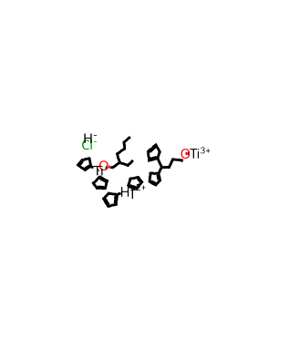 C1=CC[C]([Hf+2][C]2=CC=CC2)=C1.CCCCC(CC)C[O][Ti+]([C]1=CC=CC1)[C]1=CC=CC1.[Cl-].[H-].[Ti+3][O]CCCC(C1=CC=CC1)C1=CC=CC1